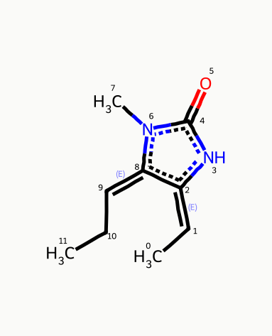 C/C=c1/[nH]c(=O)n(C)/c1=C/CC